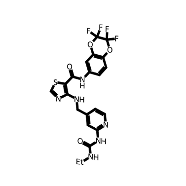 CCNC(=O)Nc1cc(CNc2ncsc2C(=O)Nc2ccc3c(c2)OC(F)(F)C(F)(F)O3)ccn1